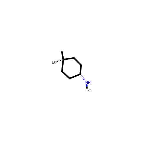 CC[C@]1(C)CC[C@H](NC(C)C)CC1